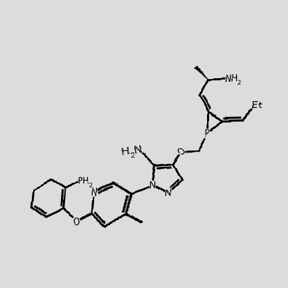 CC/C=C1\C(=C/[C@@H](C)N)P1COc1cnn(-c2cnc(OC3=C(P)CCC=C3)cc2C)c1N